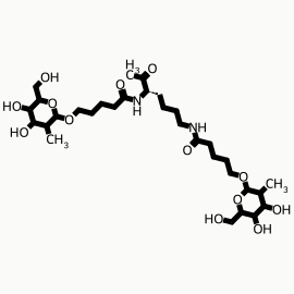 CC(=O)[C@H](CCCCNC(=O)CCCCOC1OC(CO)C(O)C(O)C1C)NC(=O)CCCCOC1OC(CO)C(O)C(O)C1C